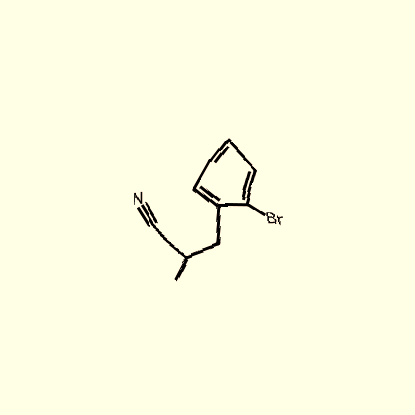 CC(C#N)Cc1ccccc1Br